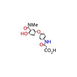 CNC(=O)c1cc(Oc2ccc(NC(=O)CC(=O)O)cc2)ccc1O